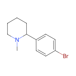 CN1CCCCC1c1ccc(Br)cc1